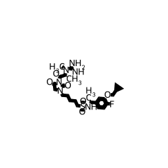 C[C@H](C(=O)N1C(=O)CN(CCCCCS(=O)(=O)N[C@H](C)c2ccc(F)c(OCC3CC3)c2)C1=O)N(C)C(=N)N